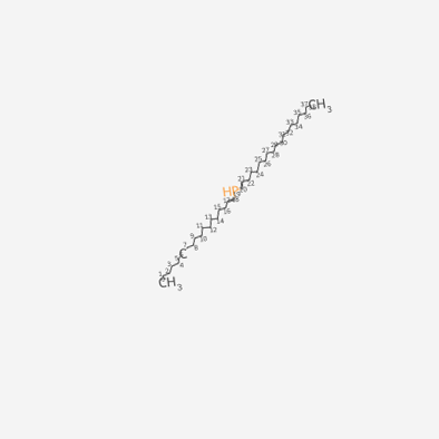 CCCCCCCCCCCCCCCCCC=CPC=CCCCCCCCCCCCCCCCCC